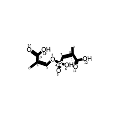 CC(=COP(=O)(O)C=C(C)C(=O)O)C(=O)O